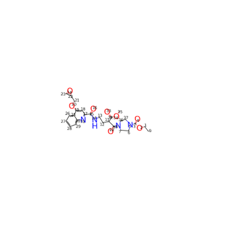 CCOC(=O)N1CCN(C(=O)C(CCNC(=O)c2cc(OCC3CO3)c3ccccc3n2)C(=O)OC)CC1